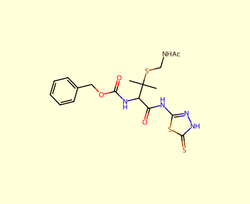 CC(=O)NCSC(C)(C)C(NC(=O)OCc1ccccc1)C(=O)Nc1n[nH]c(=S)s1